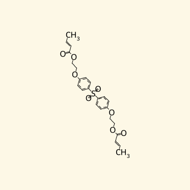 CC=CC(=O)OCCOc1ccc(S(=O)(=O)c2ccc(OCCOC(=O)C=CC)cc2)cc1